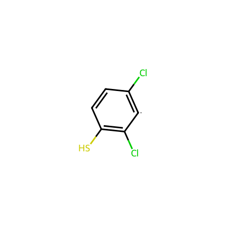 Sc1ccc(Cl)[c]c1Cl